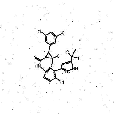 C=C(Nc1ccc(Cl)c(-c2cc(C(C)(F)F)[nH]n2)c1)C1C(c2cc(Cl)cc(Cl)c2)C1(Cl)Cl